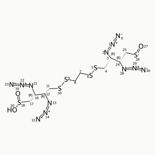 [N-]=[N+]=N[C@@H](CSSCCSSC[C@H](N=[N+]=[N-])[C@H](CS(=O)O)N=[N+]=[N-])[C@H](C[S]=O)N=[N+]=[N-]